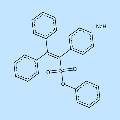 O=S(=O)(Oc1ccccc1)C(=C(c1ccccc1)c1ccccc1)c1ccccc1.[NaH]